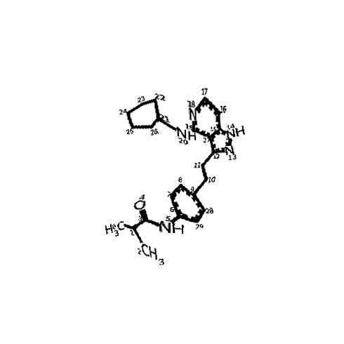 CC(C)C(=O)Nc1ccc(CCc2n[nH]c3ccnc(NC4CCCCC4)c23)cc1